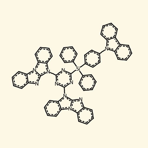 c1ccc([Si](c2ccccc2)(c2ccc(-n3c4ccccc4c4ccccc43)cc2)c2nc(-n3c4ccccc4n4c5ccccc5nc34)nc(-n3c4ccccc4n4c5ccccc5nc34)n2)cc1